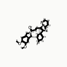 COc1cc2c(cc1OC)CN(C(=O)/C=C/c1c(-c3ccc(F)cc3)nc3cccnn13)C2